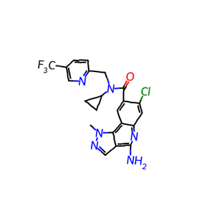 Cn1ncc2c(N)nc3cc(Cl)c(C(=O)N(Cc4ccc(C(F)(F)F)cn4)C4CC4)cc3c21